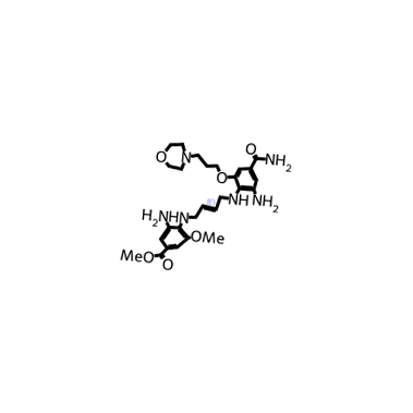 COC(=O)c1cc(N)c(NC/C=C/CNc2c(N)cc(C(N)=O)cc2OCCCN2CCOCC2)c(OC)c1